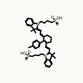 Cc1ccc(C2=C(/C=C/C3=[N+](CCCCS(=O)(=O)O)c4ccccc4C3(C)C)CCC/C2=C\C=C2\N(CCCCS(=O)(=O)O)c3ccccc3C2(C)C)cc1